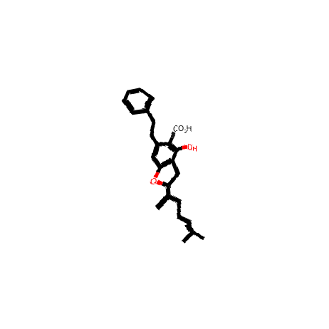 C=C(CCC=C(C)C)C1Cc2c(cc(CCc3ccccc3)c(C(=O)O)c2O)O1